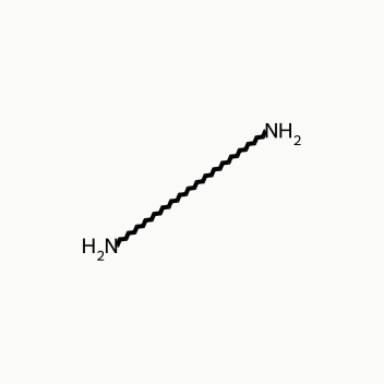 NCCCCCCCCCCCCCCCCCCCCCCCCCCCCCCCCCCCCN